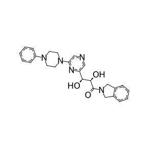 O=C([C@H](O)[C@@H](O)c1cncc(N2CCN(c3ccccc3)CC2)n1)N1Cc2ccccc2C1